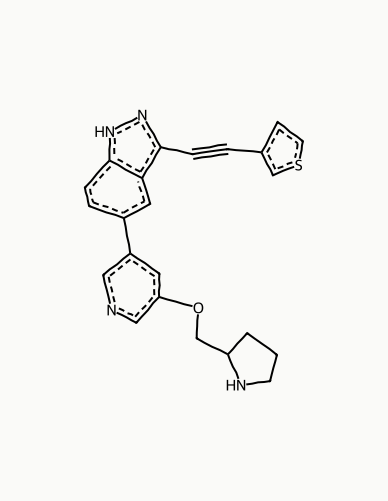 C(#Cc1n[nH]c2ccc(-c3cncc(OCC4CCCN4)c3)cc12)c1ccsc1